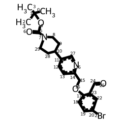 CC(C)(C)OC(=O)N1CCC(c2ccc(COc3ccc(Br)cc3C=O)nc2)CC1